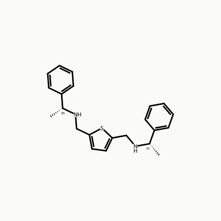 C[C@H](NCc1ccc(CN[C@H](C)c2ccccc2)s1)c1ccccc1